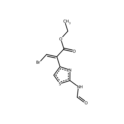 CCOC(=O)/C(=C/Br)c1csc(NC=O)n1